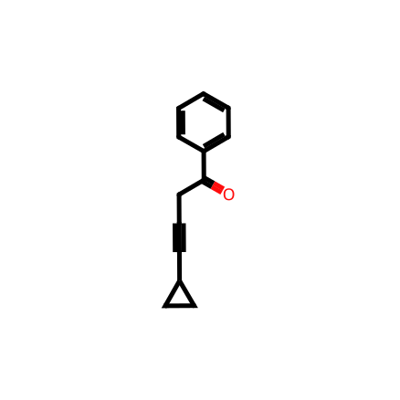 O=C(CC#CC1CC1)c1ccccc1